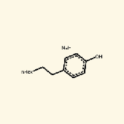 CCCCCCCCc1ccc(O)cc1.[NaH]